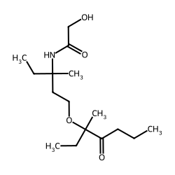 CCCC(=O)C(C)(CC)OCCC(C)(CC)NC(=O)CO